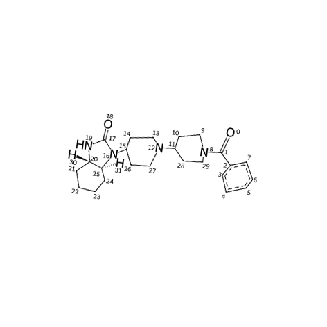 O=C(c1ccccc1)N1CCC(N2CCC(N3C(=O)N[C@H]4CCCC[C@@H]43)CC2)CC1